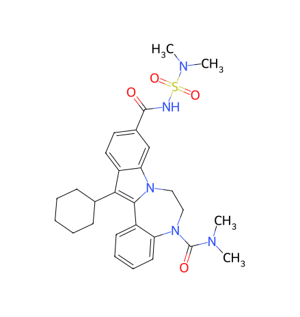 CN(C)C(=O)N1CCn2c(c(C3CCCCC3)c3ccc(C(=O)NS(=O)(=O)N(C)C)cc32)-c2ccccc21